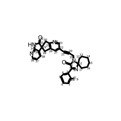 O=C1C(c2ccccc2F)=NC2(CCCCCC2)N1CC#Cc1cnc2c(c1)CC1(C2)C(=O)Nc2ncccc21